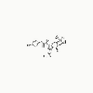 CC(C)(O)Cn1nc(C(=O)NCc2ccc(Cl)cc2)c2c1C(=O)N(CC1(S(=O)(=O)C3CC3)CC1)CC2